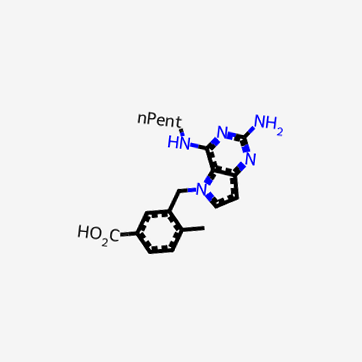 CCCCCNc1nc(N)nc2ccn(Cc3cc(C(=O)O)ccc3C)c12